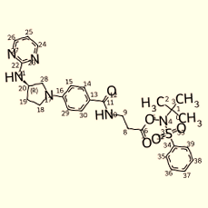 CC(C)(C)N(OC(=O)CCNC(=O)c1ccc(N2CC[C@@H](Nc3ncccn3)C2)cc1)S(=O)(=O)c1ccccc1